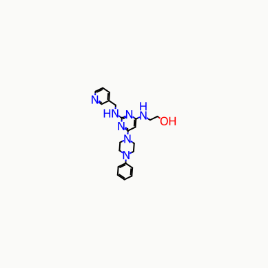 OCCNc1cc(N2CCN(c3ccccc3)CC2)nc(NCc2cccnc2)n1